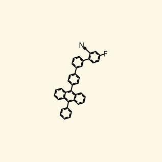 N#Cc1cc(F)ccc1-c1cccc(-c2ccc(-c3c4ccccc4c(-c4ccccc4)c4ccccc34)cc2)c1